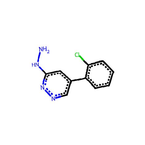 NNc1cc(-c2ccccc2Cl)cnn1